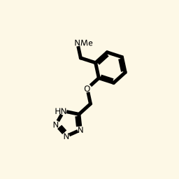 CNCc1ccccc1OCc1nnn[nH]1